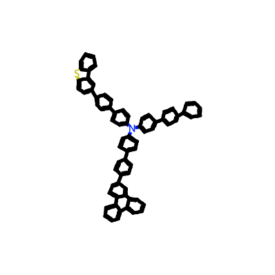 c1ccc(-c2ccc(-c3ccc(N(c4ccc(-c5ccc(-c6ccc7sc8ccccc8c7c6)cc5)cc4)c4ccc(-c5ccc(-c6ccc7c8ccccc8c8ccccc8c7c6)cc5)cc4)cc3)cc2)cc1